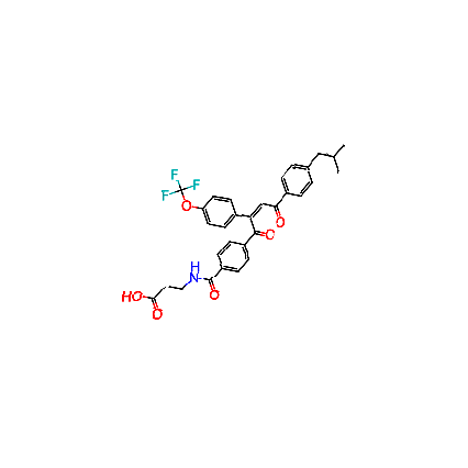 CC(C)Cc1ccc(C(=O)C=C(C(=O)c2ccc(C(=O)NCCC(=O)O)cc2)c2ccc(OC(F)(F)F)cc2)cc1